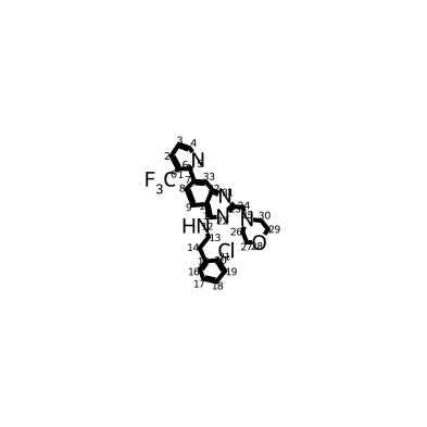 FC(F)(F)c1cccnc1-c1ccc2c(NCCc3ccccc3Cl)nc(CN3CCOCC3)nc2c1